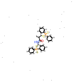 CC(CSP(=S)(c1ccccc1)c1ccccc1)C(=O)NCSP(=S)(c1ccccc1)c1ccccc1